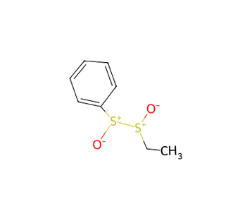 CC[S+]([O-])[S+]([O-])c1ccccc1